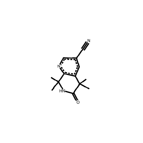 CC1(C)NC(=O)C(C)(C)c2cc(C#N)cnc21